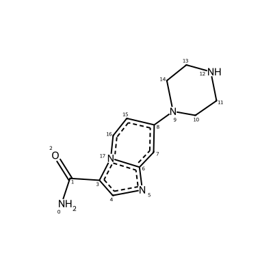 NC(=O)c1cnc2cc(N3CCNCC3)ccn12